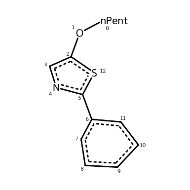 CCCCCOc1cnc(-c2ccccc2)s1